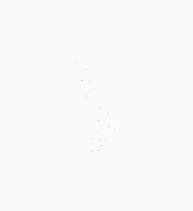 CN(c1ccc(-c2ccc(-c3cnc(C#N)cn3)cc2O)nn1)[C@@H]1C[C@H]2CCC[C@H](N2)[C@@H]1F